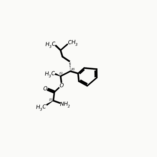 CC(C)CC[C@H](c1ccccc1)[C@H](C)OC(=O)[C@H](C)N